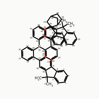 CC1(C)c2ccccc2-c2ccc(-c3ccccc3N(c3ccccc3-c3cccc4c3-c3ccccc3C4(C)C)c3cccc4c3-c3ccccc3C43CC4CCC3C4)cc21